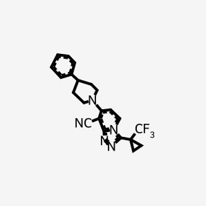 N#Cc1c(N2CCC(c3ccccc3)CC2)ccn2c(C3(C(F)(F)F)CC3)nnc12